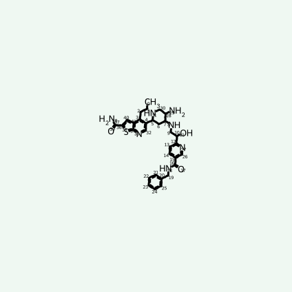 CCCc1c(C2CC(NCC(O)c3ccc(C(=O)NCc4ccccc4)cn3)C(N)CN2)cnc2sc(C(N)=O)cc12